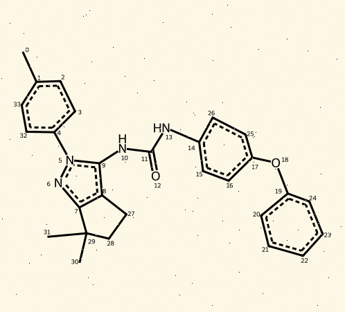 Cc1ccc(-n2nc3c(c2NC(=O)Nc2ccc(Oc4ccccc4)cc2)CCC3(C)C)cc1